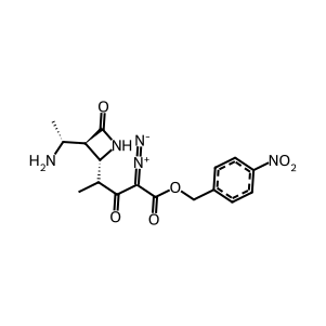 CC(C(=O)C(=[N+]=[N-])C(=O)OCc1ccc([N+](=O)[O-])cc1)[C@H]1NC(=O)[C@@H]1[C@@H](C)N